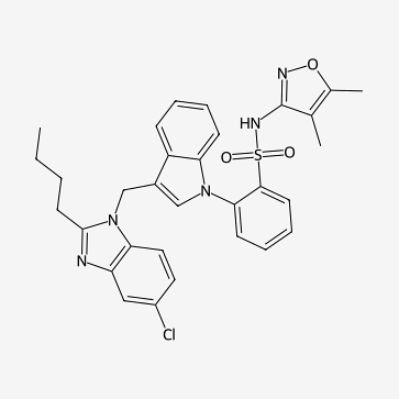 CCCCc1nc2cc(Cl)ccc2n1Cc1cn(-c2ccccc2S(=O)(=O)Nc2noc(C)c2C)c2ccccc12